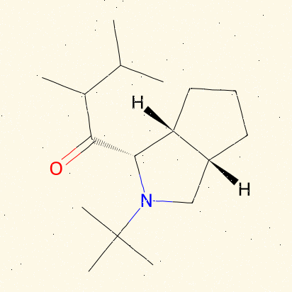 CC(C)C(C)C(=O)[C@@H]1[C@@H]2CCC[C@@H]2CN1C(C)(C)C